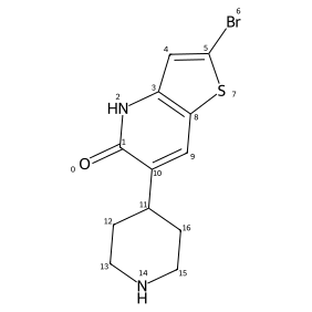 O=c1[nH]c2cc(Br)sc2cc1C1CCNCC1